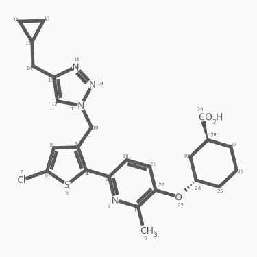 Cc1nc(-c2sc(Cl)cc2Cn2cc(CC3CC3)nn2)ccc1O[C@H]1CCC[C@H](C(=O)O)C1